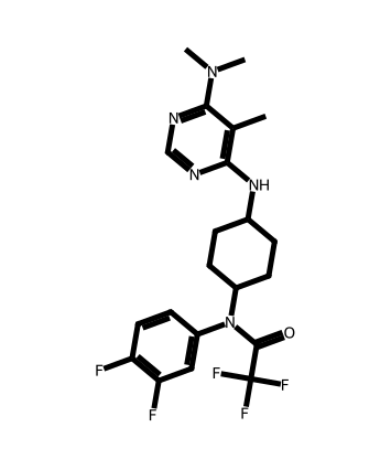 Cc1c(NC2CCC(N(C(=O)C(F)(F)F)c3ccc(F)c(F)c3)CC2)ncnc1N(C)C